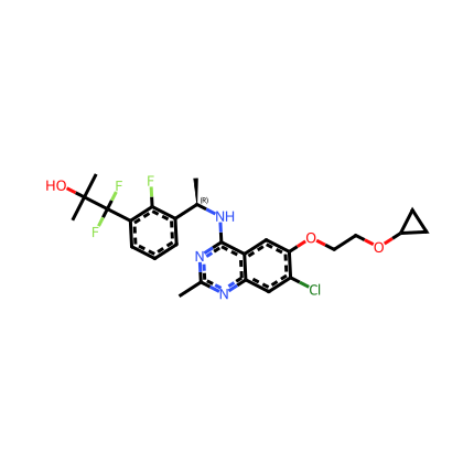 Cc1nc(N[C@H](C)c2cccc(C(F)(F)C(C)(C)O)c2F)c2cc(OCCOC3CC3)c(Cl)cc2n1